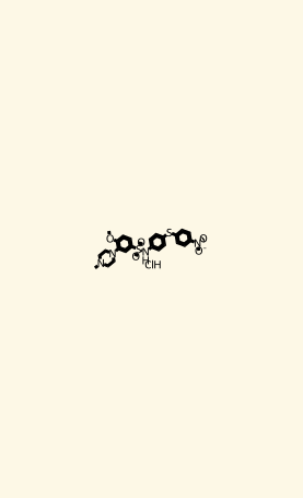 COc1ccc(S(=O)(=O)Nc2ccc(Sc3ccc([N+](=O)[O-])cc3)cc2)cc1N1CCN(C)CC1.Cl